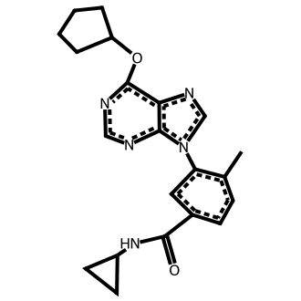 Cc1ccc(C(=O)NC2CC2)cc1-n1cnc2c(OC3CCCC3)ncnc21